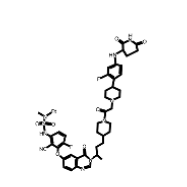 CCN(C)S(=O)(=O)Nc1ccc(F)c(Oc2ccc3ncn(C(C)CCC4CCN(C(=O)CN5CCC(c6ccc(NC7CCC(=O)NC7=O)cc6F)CC5)CC4)c(=O)c3c2)c1C#N